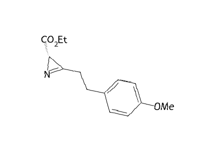 CCOC(=O)[C@H]1N=C1CCc1ccc(OC)cc1